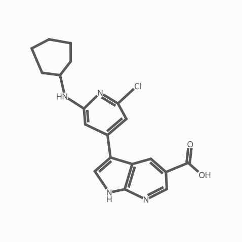 O=C(O)c1cnc2[nH]cc(-c3cc(Cl)nc(NC4CCCCC4)c3)c2c1